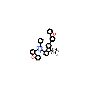 CC1(C)c2cc(-c3ccc4oc5ccccc5c4c3)ccc2-c2c(-c3nc(-c4ccccc4)nc(-c4cccc5oc6ccccc6c45)n3)cccc21